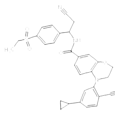 CCS(=O)(=O)c1ccc(C(CC#N)NC(=O)c2ccc3c(c2)OCCN3c2cc(C3CC3)ccc2C#N)cc1